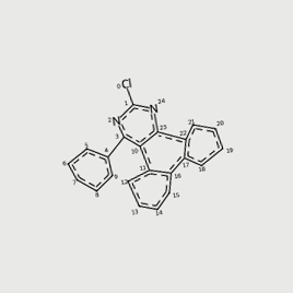 Clc1nc(-c2ccccc2)c2c3ccccc3c3ccccc3c2n1